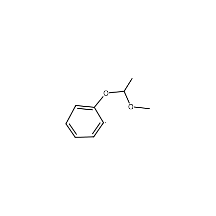 COC(C)Oc1[c]cccc1